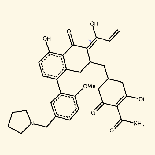 C=C/C(O)=C1/C(=O)c2c(O)ccc(-c3cc(CN4CCCC4)ccc3OC)c2CC1CC1CC(=O)C(C(N)=O)=C(O)C1